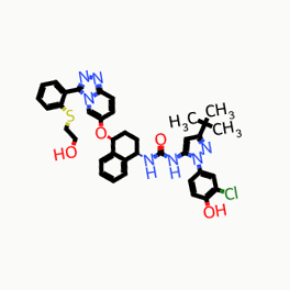 CC(C)(C)c1cc(NC(=O)N[C@H]2CC[C@H](Oc3ccc4nnc(-c5ccccc5SCCO)n4c3)c3ccccc32)n(-c2ccc(O)c(Cl)c2)n1